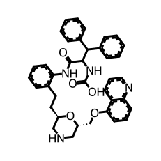 O=C(O)NC(C(=O)Nc1ccccc1CC[C@@H]1CNC[C@@H](COc2cccc3ncccc23)O1)C(c1ccccc1)c1ccccc1